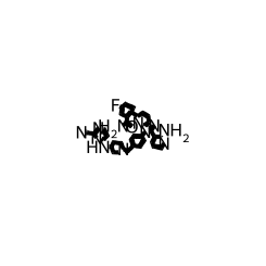 N#Cc1nccc(NC2CCN(Cc3ccc(-n4c(-c5cccnc5N)nc5ccc(-c6ccc(F)cc6C(N)=O)nc54)cc3)CC2)n1